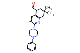 CC1(C)Cc2nc(N3CCN(c4ccccc4)CC3)c(F)cc2C(C=O)C1